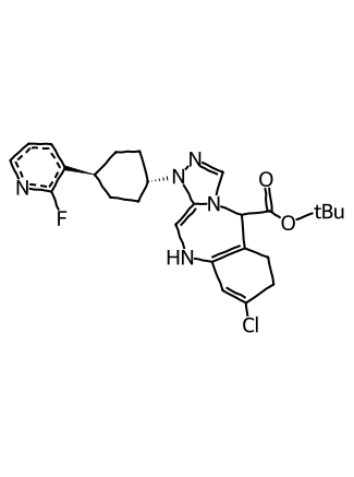 CC(C)(C)OC(=O)C1C2=C(C=C(Cl)CC2)NC=C2N1C=NN2[C@H]1CC[C@H](c2cccnc2F)CC1